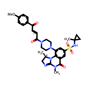 COc1ccc(C(=O)/C=C/C(=O)N2CCN(c3cc(S(=O)(=O)NC4(C)CC4)cc4c3N3C(=NC[C@H]3C)N(C)C4=O)CC2)cc1